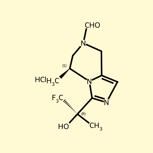 C[C@H]1CN(C=O)Cc2cnc([C@@](C)(O)C(F)(F)F)n21.Cl